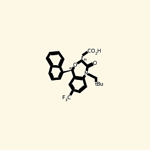 CC(C)(C)CN1C(=O)[C@@H](CC(=O)O)O[C@H](c2cccc3ccccc23)c2cc(C(F)(F)F)ccc21